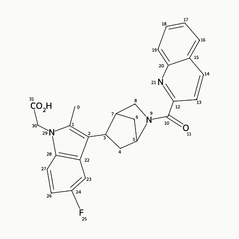 Cc1c(C2CC3CC2CN3C(=O)c2ccc3ccccc3n2)c2cc(F)ccc2n1CC(=O)O